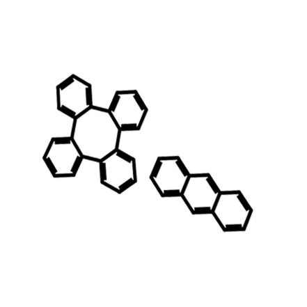 c1ccc2c(c1)-c1ccccc1-c1ccccc1-c1ccccc1-2.c1ccc2cc3ccccc3cc2c1